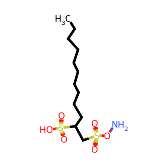 CCCCCCCCCCC(CS(=O)(=O)ON)S(=O)(=O)O